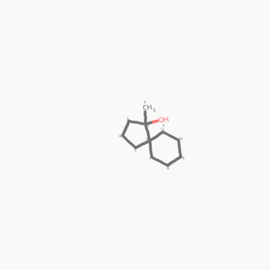 CC1(O)CCCC12CCCCC2